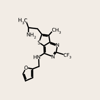 Cc1c(CC(C)N)sc2c(NCc3ccco3)nc(C(F)(F)F)nc12